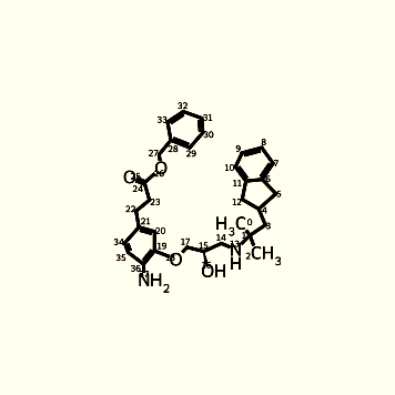 CC(C)(CC1Cc2ccccc2C1)NC[C@@H](O)COc1cc(CCC(=O)OCc2ccccc2)ccc1N